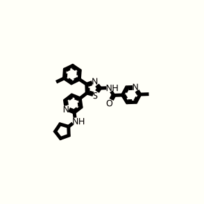 Cc1cccc(-c2nc(NC(=O)c3ccc(C)nc3)sc2-c2ccnc(NC3CCCC3)c2)c1